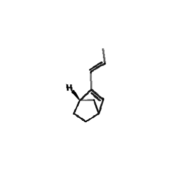 CC=CC1=CC2CC[C@H]1C2